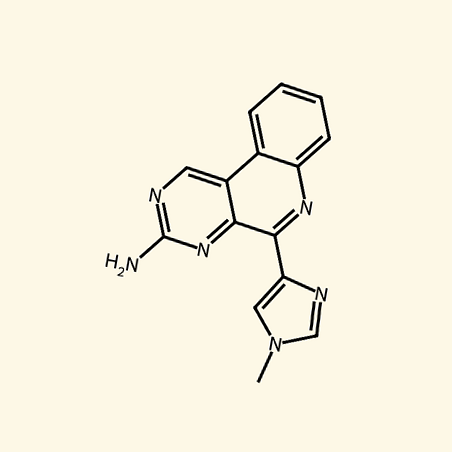 Cn1cnc(-c2nc3ccccc3c3cnc(N)nc23)c1